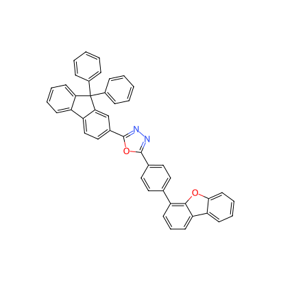 c1ccc(C2(c3ccccc3)c3ccccc3-c3ccc(-c4nnc(-c5ccc(-c6cccc7c6oc6ccccc67)cc5)o4)cc32)cc1